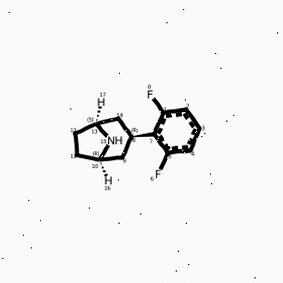 Fc1cccc(F)c1[C@H]1C[C@H]2CC[C@@H](C1)N2